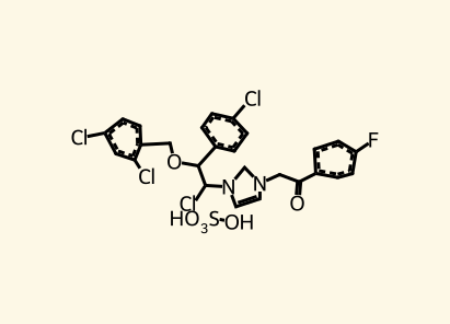 O=C(CN1C=CN(C(Cl)C(OCc2ccc(Cl)cc2Cl)c2ccc(Cl)cc2)C1)c1ccc(F)cc1.O=S(=O)(O)O